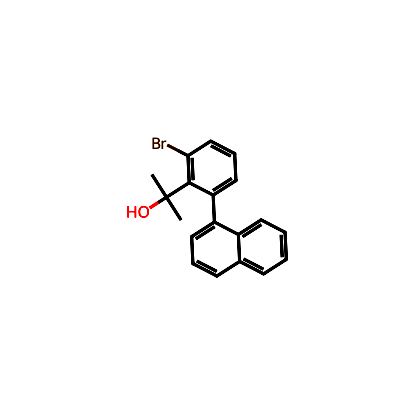 CC(C)(O)c1c(Br)cccc1-c1cccc2ccccc12